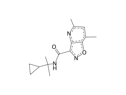 Cc1cc(C)c2onc(C(=O)NC(C)(C)C3CC3)c2n1